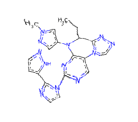 CCC1c2nncn2-c2cnc(-n3ccnc3-c3ccn[nH]3)nc2N1c1cnn(C)c1